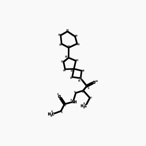 CCC(=O)NCC(CC)C(=O)N1CC2(CCC(C3CCCCC3)C2)C1